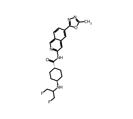 Cc1nnc(-c2ccc3cnc(NC(=O)[C@H]4CC[C@H](NC(CF)CF)CC4)cc3c2)o1